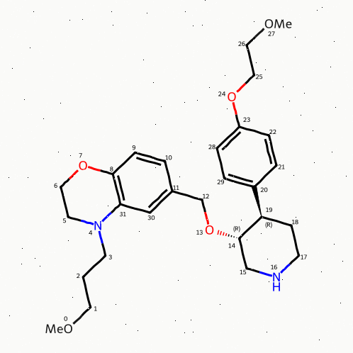 COCCCN1CCOc2ccc(CO[C@H]3CNCC[C@@H]3c3ccc(OCCOC)cc3)cc21